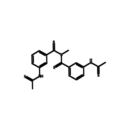 CC(=S)Nc1cccc(C(=S)N(C)C(=S)c2cccc(NC(C)=S)c2)c1